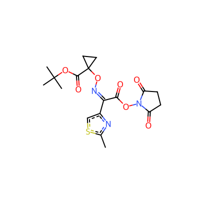 Cc1nc(/C(=N/OC2(C(=O)OC(C)(C)C)CC2)C(=O)ON2C(=O)CCC2=O)cs1